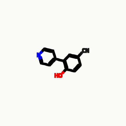 N#Cc1ccc(O)c(-c2ccncc2)c1